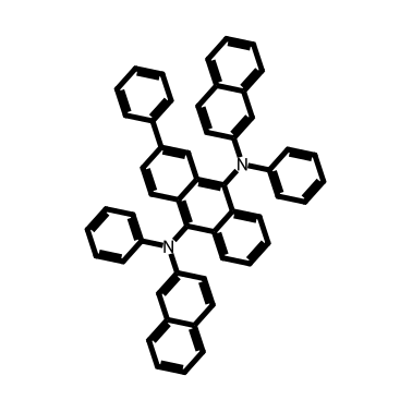 c1ccc(-c2ccc3c(N(c4ccccc4)c4ccc5ccccc5c4)c4ccccc4c(N(c4ccccc4)c4ccc5ccccc5c4)c3c2)cc1